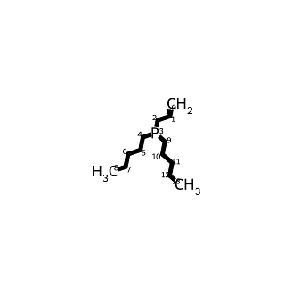 C=CCP(CCCCC)CCCCC